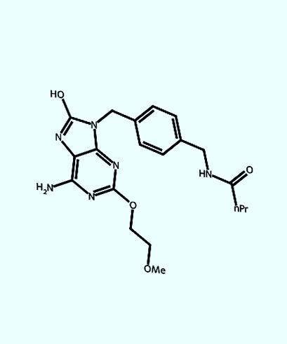 CCCC(=O)NCc1ccc(Cn2c(O)nc3c(N)nc(OCCOC)nc32)cc1